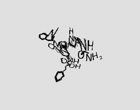 NCC(=O)N[C@@H]1CN[C@@H](C(=O)N2C[C@H](NC(=O)[C@H](O)CCc3ccccc3)C[C@H]2C(=O)Nc2cnc3ccccc3c2)C1